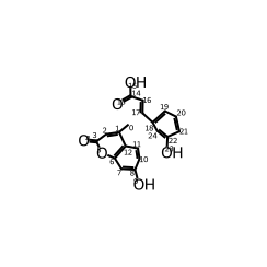 Cc1cc(=O)oc2cc(O)ccc12.O=C(O)C=Cc1cccc(O)c1